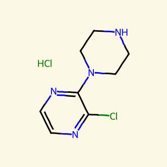 Cl.Clc1nccnc1N1CCNCC1